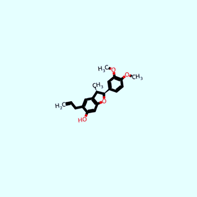 C=CCc1cc2c(cc1O)O[C@H](c1ccc(OC)c(OC)c1)[C@H]2C